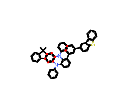 CC1(C)c2ccccc2-c2cc(N(c3ccccc3)c3cccc(-c4cccc(-c5ccc6sc7ccccc7c6c5)c4)c3N(c3ccccc3)c3ccccc3)ccc21